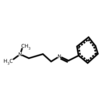 CN(C)CCCN=Cc1ccccc1